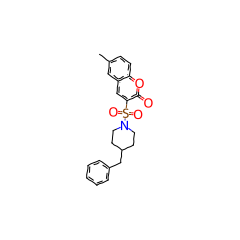 Cc1ccc2oc(=O)c(S(=O)(=O)N3CCC(Cc4ccccc4)CC3)cc2c1